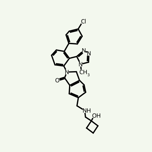 Cn1cnnc1-c1c(-c2ccc(Cl)cc2)cccc1N1Cc2ccc(CNCC3(O)CCC3)cc2C1=O